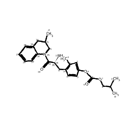 Cc1cc(OC(=O)OCC(C)C)ccc1C[C@@H](N)C(=O)N1CC(C)Cc2ccccc21